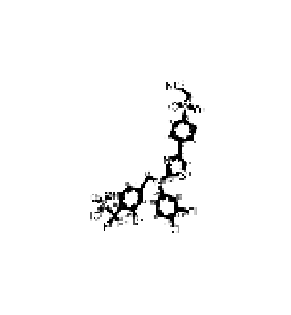 N#CCS(=O)(=O)c1ccc(-c2csc(N(Cc3ccc(C(F)(F)P(=O)(O)O)c(Br)c3)c3ccc(Cl)c(Cl)c3)n2)cc1